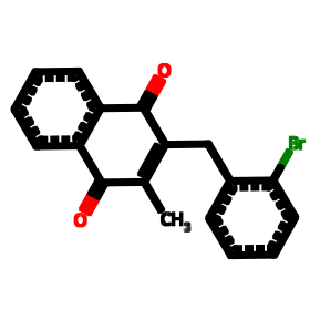 CC1=C(Cc2ccccc2Br)C(=O)c2ccccc2C1=O